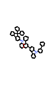 c1ccc(-c2cccc(-n3c4ccccc4c4cc(-c5cccc(-c6ccccc6N(c6ccccc6)c6ccc7c(c6)C(c6ccccc6)(c6ccccc6)c6ccccc6-7)c5)ccc43)c2)cc1